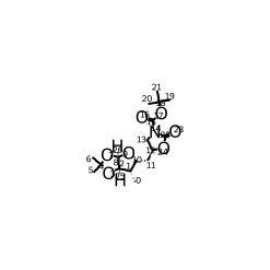 C[C@@H]1[C@H]2OC(C)(C)O[C@H]2O[C@@H]1C[C@H]1CN(C(=O)OC(C)(C)C)C(=O)O1